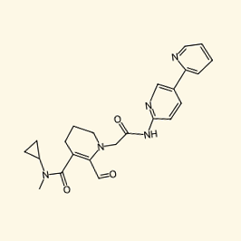 CN(C(=O)C1=C(C=O)N(CC(=O)Nc2ccc(-c3ccccn3)cn2)CCC1)C1CC1